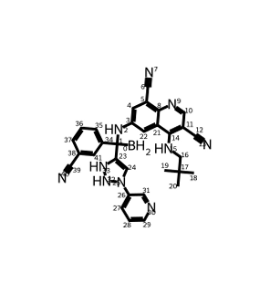 BC(Nc1cc(C#N)c2ncc(C#N)c(NCC(C)(C)C)c2c1)(C1=CN(c2cccnc2)NN1)c1cccc(C#N)c1